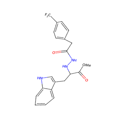 COC(=O)C(Cc1c[nH]c2ccccc12)NNC(=O)Cc1ccc(C(F)(F)F)cc1